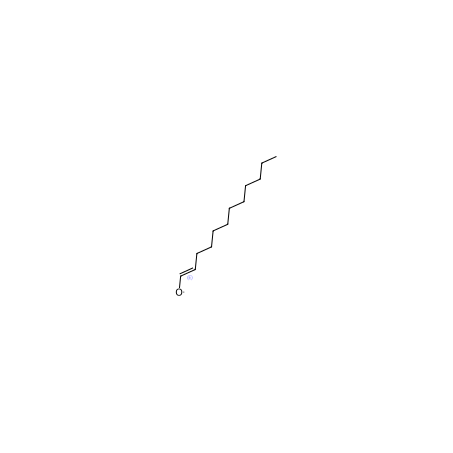 CCCCCCCCCC/C=C/[O]